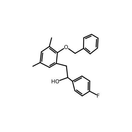 Cc1cc(C)c(OCc2ccccc2)c(CC(O)c2ccc(F)cc2)c1